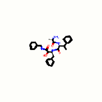 CC(c1ccccc1)[C@H](NC(=O)[C@H](C)N)C(=O)N[C@@H](Cc1ccccc1)C(O)C(=O)NCc1ccccc1